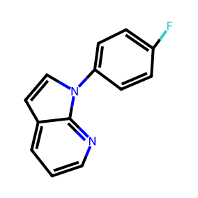 Fc1ccc(-n2ccc3cccnc32)cc1